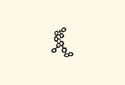 CC1(c2ccccc2)c2ccccc2-c2c(N(c3ccc(-c4ccc(-c5cccc6ccccc56)cc4)cc3)c3ccccc3-c3cccc(-c4ccccc4)c3)cccc21